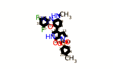 CNc1ccc(-c2c[nH]c(=O)c3c2ccn3S(=O)(=O)c2ccc(C)cc2)c(Oc2ccc(F)cc2F)c1N